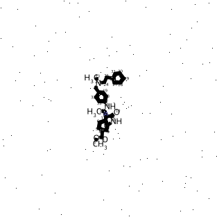 COC(=O)c1ccc2c(c1)NC(=O)/C2=C(/C)Nc1ccc(CN(C)CCc2ccccc2)cc1